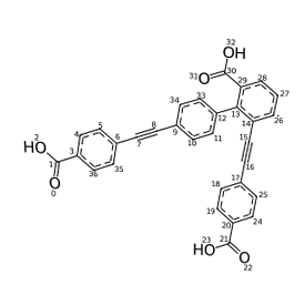 O=C(O)c1ccc(C#Cc2ccc(-c3c(C#Cc4ccc(C(=O)O)cc4)[c]ccc3C(=O)O)cc2)cc1